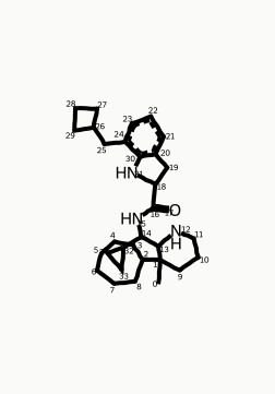 CC1(C2CCCCCC2)CCCNC1C(NC(=O)C1Cc2cccc(CC3CCC3)c2N1)C1CC1